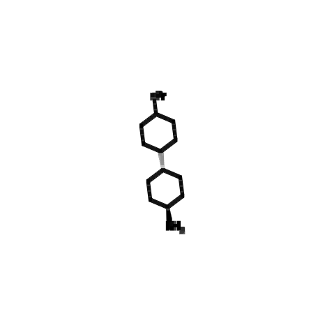 CCCC1CCC([C@H]2CC[C@H](N)CC2)CC1